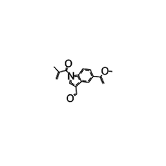 C=C(C)C(=O)n1cc(C=O)c2cc(C(=C)OC)ccc21